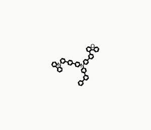 c1ccc(-c2cccc(-c3ccc(N(c4ccc(-c5ccc(-c6cccc(-n7c8ccccc8c8ccccc87)c6)cc5)cc4)c4ccc(-c5cccc(-c6cccc7oc8ccccc8c67)c5)cc4)cc3)c2)cc1